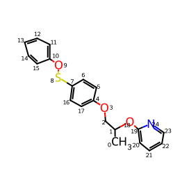 CC(COc1ccc(SOc2ccccc2)cc1)Oc1ccccn1